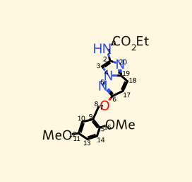 CCOC(=O)Nc1cn2nc(OCc3cc(OC)ccc3OC)ccc2n1